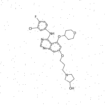 OC1CCN(CCCOc2cc(OC3CCOCC3)c3c(Nc4ccc(F)c(Cl)c4)ncnc3c2)C1